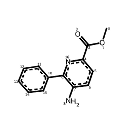 COC(=O)c1ccc(N)c(-c2ccccc2)n1